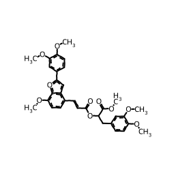 COC(=O)C(Cc1ccc(OC)c(OC)c1)OC(=O)/C=C/c1ccc(OC)c2oc(-c3ccc(OC)c(OC)c3)cc12